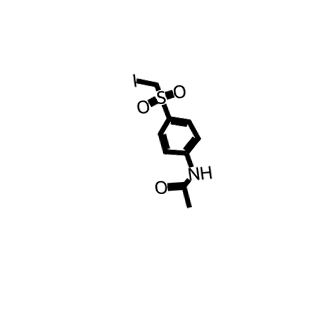 CC(=O)Nc1ccc(S(=O)(=O)CI)cc1